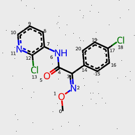 CO/N=C(\C(=O)Nc1cccnc1Cl)c1ccc(Cl)cc1